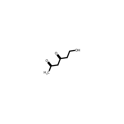 CC(=O)CC(=O)CCO